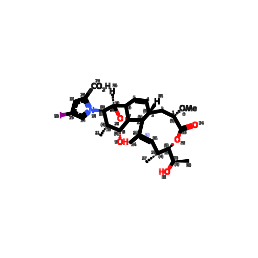 CO[C@H]1C[C@H]2C=CC3C4[C@H](O)[C@H](C)[C@@H](n5cc(I)cc5C(=O)O)[C@@H]3O[C@]42/C(C)=C/[C@@H](C)[C@@H]([C@@H](C)O)OC1=O